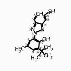 C=Cc1nn(-c2cc(C)cc(C(C)(C)C)c2O)nc1/C=C/S